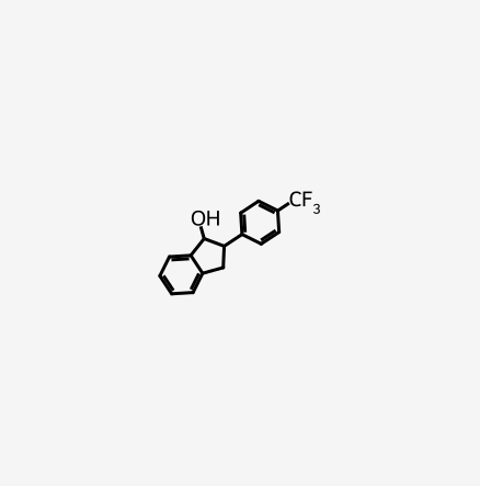 OC1c2ccccc2CC1c1ccc(C(F)(F)F)cc1